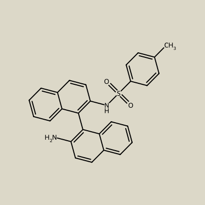 Cc1ccc(S(=O)(=O)Nc2ccc3ccccc3c2-c2c(N)ccc3ccccc23)cc1